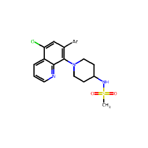 CC(=O)c1cc(Cl)c2cccnc2c1N1CCC(NS(C)(=O)=O)CC1